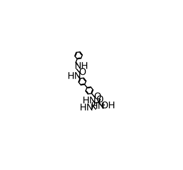 CNC(C)C(NC(=O)c1ccc(-c2ccc(NC(=O)CNCc3ccccc3)cc2)cc1)C(=O)NO